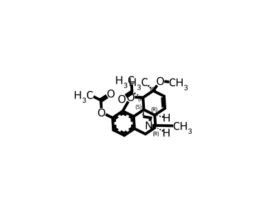 CO[C@@]1(C)C=C[C@H]2[C@H]3Cc4ccc(OC(C)=O)c5c4[C@@]2(CCN3C)[C@@]1(C(C)=O)O5